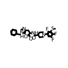 CSc1c(F)c(F)cc(N2CCC(C(=O)NC(Cc3cn(Cc4ccccc4)cn3)C(=O)O)CC2)c1F